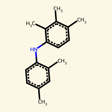 Cc1ccc(Nc2ccc(C)c(C)c2C)c(C)c1